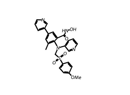 COc1ccc(S(=O)(=O)CN(c2cccnc2)c2c(C)cc(-c3cccnc3)cc2C(=O)NO)cc1